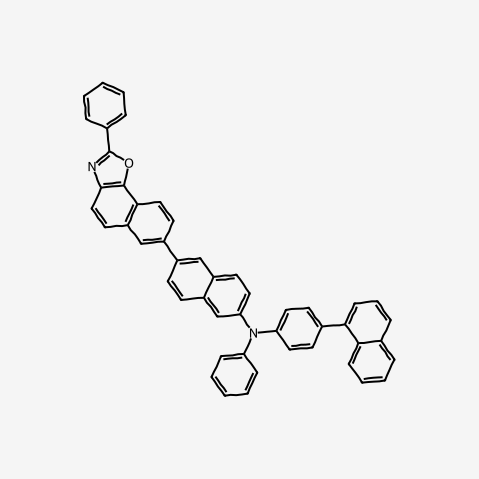 c1ccc(-c2nc3ccc4cc(-c5ccc6cc(N(c7ccccc7)c7ccc(-c8cccc9ccccc89)cc7)ccc6c5)ccc4c3o2)cc1